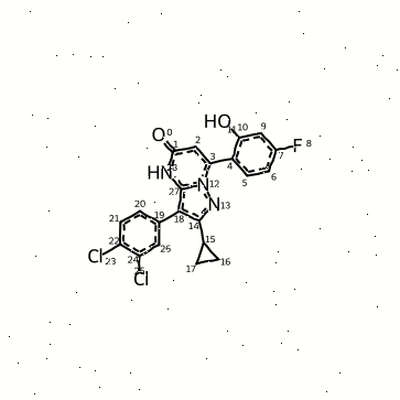 O=c1cc(-c2ccc(F)cc2O)n2nc(C3CC3)c(-c3ccc(Cl)c(Cl)c3)c2[nH]1